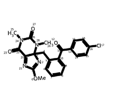 COC1=NC2(Cc3ccccc3C(=O)c3ccc(Cl)cc3)C(=N1)C(=O)N(C)C(=O)N2C